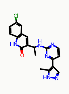 Cc1[nH]ncc1-c1ccnc(NC(C)c2cc3cc(Cl)ccc3[nH]c2=O)n1